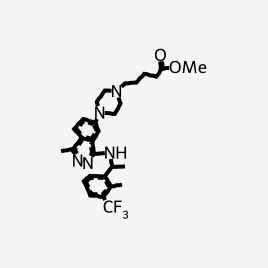 COC(=O)CCCCN1CCN(c2ccc3c(C)nnc(NC(C)c4cccc(C(F)(F)F)c4C)c3c2)CC1